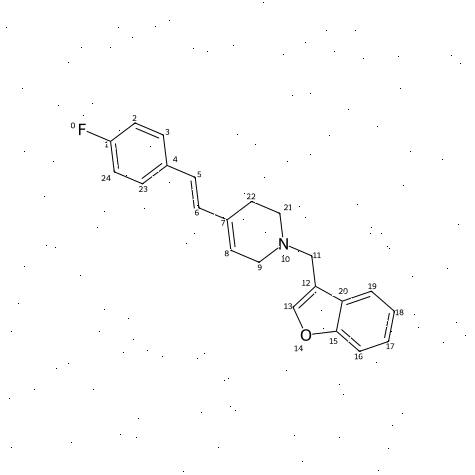 Fc1ccc(C=CC2=CCN(Cc3coc4ccccc34)CC2)cc1